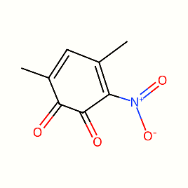 CC1=CC(C)=C([N+](=O)[O-])C(=O)C1=O